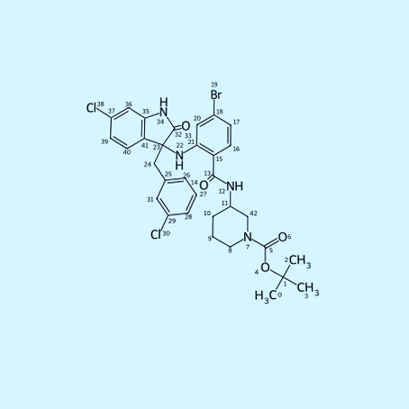 CC(C)(C)OC(=O)N1CCCC(NC(=O)c2ccc(Br)cc2NC2(Cc3cccc(Cl)c3)C(=O)Nc3cc(Cl)ccc32)C1